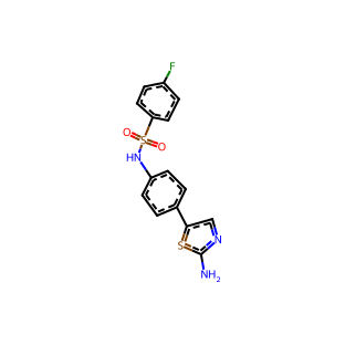 Nc1ncc(-c2ccc(NS(=O)(=O)c3ccc(F)cc3)cc2)s1